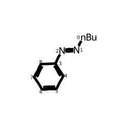 CCCCN=Nc1ccccc1